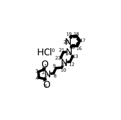 Cl.O=C1CCC(=O)N1CCCN1CCN(c2ccccn2)CC1